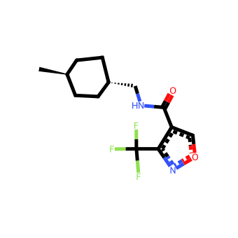 C[C@H]1CC[C@H](CNC(=O)c2conc2C(F)(F)F)CC1